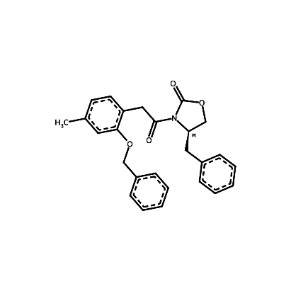 Cc1ccc(CC(=O)N2C(=O)OC[C@H]2Cc2ccccc2)c(OCc2ccccc2)c1